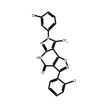 O=c1[nH]c2nn(-c3cccc(Cl)c3)c(C(F)(F)F)c2c2onc(-c3ccccc3Cl)c12